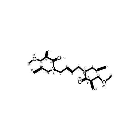 C=CCN(C/C=C/CN(CC=C)C(=O)C(=C)COC)C(=O)C(=C)COC